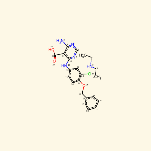 CCNCC.Nc1ncnc(Nc2ccc(OCc3ccccc3)c(Cl)c2)c1C(=O)O